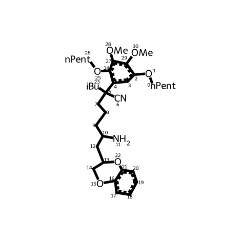 CCCCCOc1cc(C(C#N)(CCCC(N)CC2COc3ccccc3O2)C(C)CC)c(OCCCCC)c(OC)c1OC